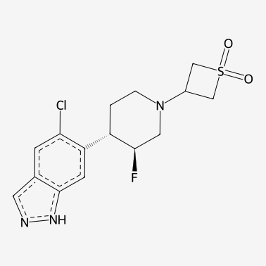 O=S1(=O)CC(N2CC[C@@H](c3cc4[nH]ncc4cc3Cl)[C@H](F)C2)C1